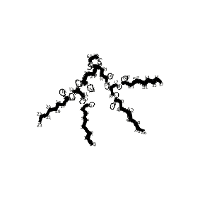 CCCCCCCCC(=O)OCC(COC(=O)CCCCCCC)OC(=O)CCC1(CCC(=O)OC(COC(=O)CCCCCCC)COC(=O)CCCCCCC)SCCS1